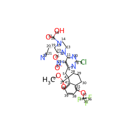 COC(=O)C1(Cc2nc(Cl)nc(N3CCN(C(=O)O)[C@@H](CC#N)C3)c2[N+](=O)[O-])CCCc2c(OC(F)(F)F)cccc21